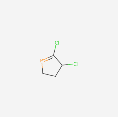 ClC1=PCCC1Cl